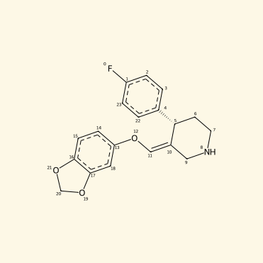 Fc1ccc([C@@H]2CCNC/C2=C/Oc2ccc3c(c2)OCO3)cc1